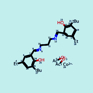 CC(=O)[O-].CC(=O)[O-].CCc1cc(C=NCCCN=Cc2cc(CC)cc(C(C)(C)C)c2O)c(O)c(C(C)(C)C)c1.[Co+2]